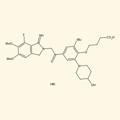 Br.COc1cc2c(c(F)c1OC)C(=N)N(CC(=O)c1cc(N3CCC(O)CC3)c(OCCCC(=O)O)c(C(C)(C)C)c1)C2